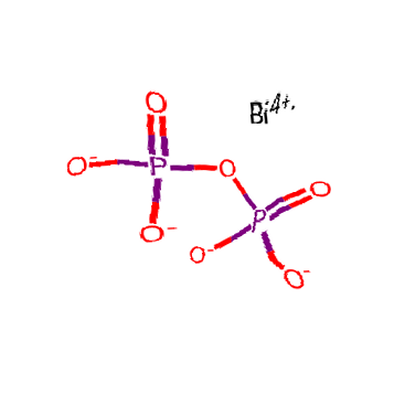 O=P([O-])([O-])OP(=O)([O-])[O-].[Bi+4]